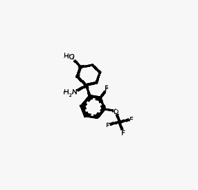 NC1(c2cccc(OC(F)(F)F)c2F)CCCC(O)C1